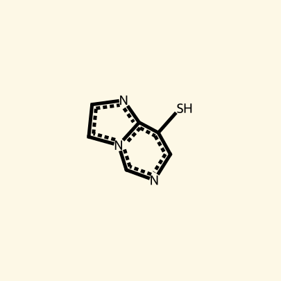 Sc1cncn2ccnc12